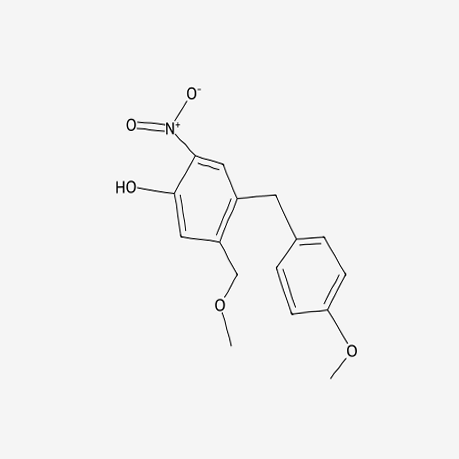 COCc1cc(O)c([N+](=O)[O-])cc1Cc1ccc(OC)cc1